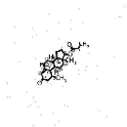 CCC(=O)OC1CC[C@H]2[C@@H]3CCC4=CC(=O)CC(C)[C@]4(CO)[C@@H]3CC[C@]12C